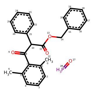 Cc1cccc(C)c1C(=O)C(C(=O)OCc1ccccc1)c1ccccc1.O=[PH3]